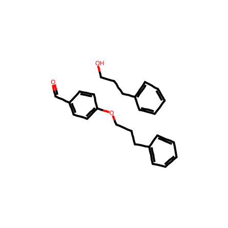 O=Cc1ccc(OCCCc2ccccc2)cc1.OCCCc1ccccc1